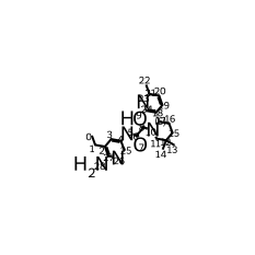 CCc1cc(NC(=O)C(=O)N2CC(C)(C)CC[C@H]2c2ccc(C)nc2)cnc1N